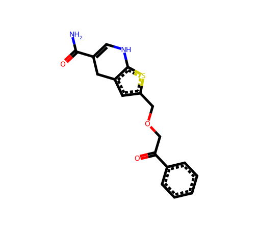 NC(=O)C1=CNc2sc(COCC(=O)c3ccccc3)cc2C1